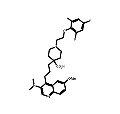 COc1ccc2ncc(N(C)C)c(CCCC3(C(=O)O)CCN(CCOc4c(F)cc(F)cc4F)CC3)c2c1